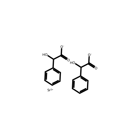 O=C([O-])C(O)c1ccccc1.O=C([O-])C(O)c1ccccc1.[Sr+2]